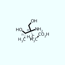 CC(=O)O.C[C@H](O)[C@](C)(N)CO